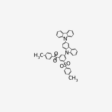 Cc1ccc(S(=O)(=O)c2cc(-n3c4ccccc4c4cc(-n5c6ccccc6c6ccccc65)ccc43)cc(S(=O)(=O)c3ccc(C)cc3)c2)cc1